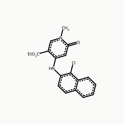 CCOC(=O)c1cn(C)c(=O)cc1Nc1ccc2ccccc2c1Cl